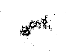 N[C@@H]1C[C@H](F)CN1C(=O)CN1CCC(Nc2cccc3ncsc23)CC1